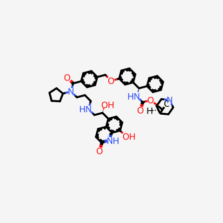 O=C(N[C@@H](c1ccccc1)c1cccc(OCc2ccc(C(=O)N(CCCNC[C@H](O)c3ccc(O)c4[nH]c(=O)ccc34)C3CCCC3)cc2)c1)O[C@H]1CN2CCC1CC2